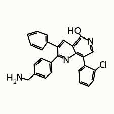 NCc1ccc(-c2nc3c(-c4ccccc4Cl)cnc(O)c3cc2-c2ccccc2)cc1